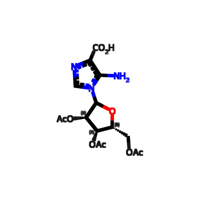 CC(=O)OC[C@H]1OC(n2cnc(C(=O)O)c2N)[C@H](OC(C)=O)[C@@H]1OC(C)=O